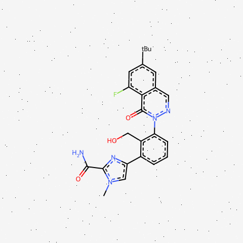 Cn1cc(-c2cccc(-n3ncc4cc(C(C)(C)C)cc(F)c4c3=O)c2CO)nc1C(N)=O